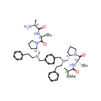 CN[C@@H](C)C(=O)N[C@H](C(=O)N1CCC[C@H]1CN(CCc1ccccc1)Cc1ccc(CN(CCc2ccccc2)C[C@@H]2CCCN2C(=O)[C@@H](NC(=O)[C@H](C)N)C(C)(C)C)cc1)C(C)(C)C